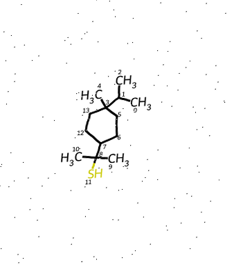 CC(C)C1(C)CCC(C(C)(C)S)CC1